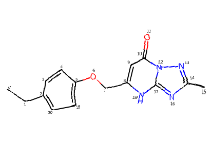 CCc1ccc(OCc2cc(=O)n3nc(C)nc3[nH]2)cc1